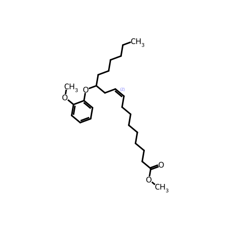 CCCCCCC(C/C=C\CCCCCCCC(=O)OC)Oc1ccccc1OC